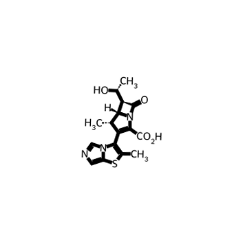 Cc1sc2cncn2c1C1=C(C(=O)O)N2C(=O)[C@H]([C@@H](C)O)[C@H]2[C@H]1C